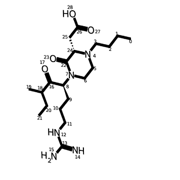 CCCCN1CCN([C@@H](CCCNC(=N)N)C(=O)C(C)CC)C(=O)[C@@H]1CC(=O)O